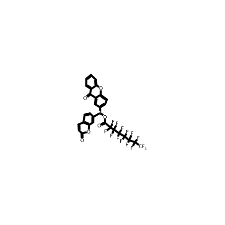 O=C(O[I+](c1ccc2ccc(=O)oc2c1)c1ccc2oc3ccccc3c(=O)c2c1)C(F)(F)C(F)(F)C(F)(F)C(F)(F)C(F)(F)C(F)(F)C(F)(F)F